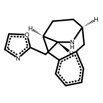 c1ccc2c(c1)C[C@@H]1CC[C@H](C2)[C@@H](Cc2ncco2)N1